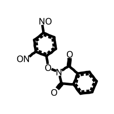 O=Nc1ccc(ON2C(=O)c3ccccc3C2=O)c(N=O)c1